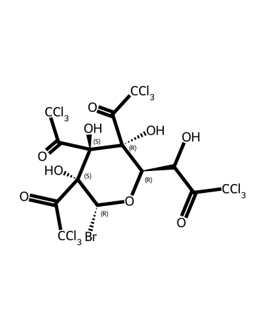 O=C(C(O)[C@H]1O[C@H](Br)[C@@](O)(C(=O)C(Cl)(Cl)Cl)[C@](O)(C(=O)C(Cl)(Cl)Cl)[C@@]1(O)C(=O)C(Cl)(Cl)Cl)C(Cl)(Cl)Cl